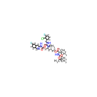 CC(C)[C@H](NC(=O)OC(C)(C)C)C(=O)OCCCC[C@@H](COC(=O)Nc1cc2cc(F)ccc2cn1)N(C)C(=O)NCc1cccc(F)c1Cl